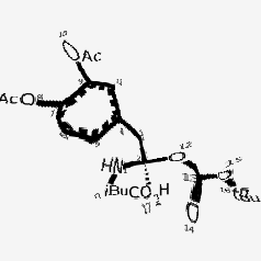 CCC(C)N[C@@](Cc1ccc(OC(C)=O)c(OC(C)=O)c1)(OC(=O)OC(C)(C)C)C(=O)O